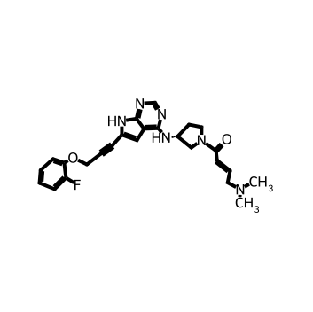 CN(C)C/C=C/C(=O)N1CC[C@@H](Nc2ncnc3[nH]c(C#CCOc4ccccc4F)cc23)C1